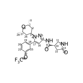 C[C@@H]1C[C@@H](n2nc(NC(=O)[C@H]3CNC(=O)C3)cc2-c2cccc(OC(F)(F)F)c2)C[C@H](C)O1